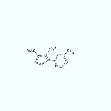 O=C(O)c1ccn(-c2cccc(C(F)(F)F)c2)c1C(=O)O